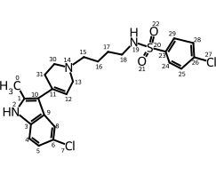 Cc1[nH]c2ccc(Cl)cc2c1C1=CCN(CCCCNS(=O)(=O)c2ccc(Cl)cc2)CC1